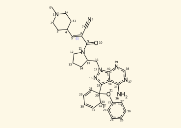 CN1CCC(/C=C(\C#N)C(=O)N2CCCC2Cn2nc(C3(Oc4ccccc4)C=CC=CC3F)c3c(N)ncnc32)CC1